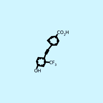 O=C(O)c1ccc(C#Cc2ccc(O)cc2C(F)(F)F)cc1